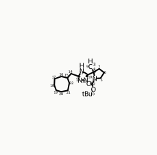 CC(C)(C)OC(=O)N1CCC[C@@]1(C)c1nnc(CC2CCCCCCC2)[nH]1